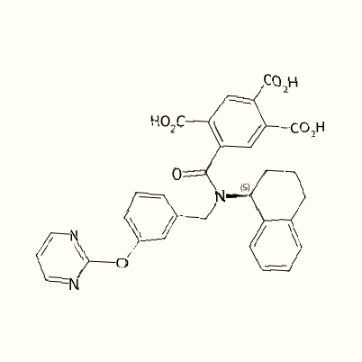 O=C(O)c1cc(C(=O)O)c(C(=O)N(Cc2cccc(Oc3ncccn3)c2)[C@H]2CCCc3ccccc32)cc1C(=O)O